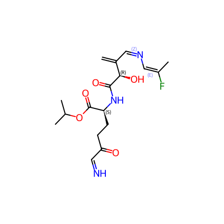 C=C(/C=N\C=C(/C)F)[C@@H](O)C(=O)N[C@@H](CCC(=O)C=N)C(=O)OC(C)C